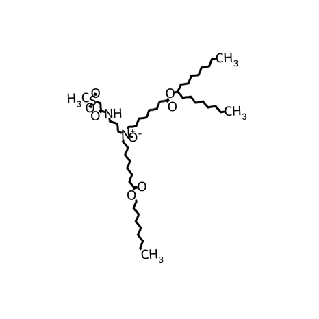 CCCCCCCCCOC(=O)CCCCCCC[N+]([O-])(CCCCCCCC(=O)OC(CCCCCCCC)CCCCCCCC)CCCNC(=O)CS(C)(=O)=O